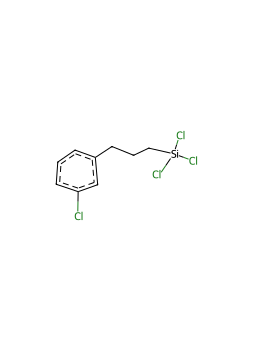 Clc1cccc(CCC[Si](Cl)(Cl)Cl)c1